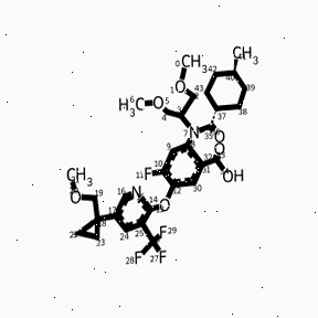 COCC(COC)N(c1cc(F)c(Oc2ncc(C3(COC)CC3)cc2C(F)(F)F)cc1C(=O)O)C(=O)[C@H]1CC[C@H](C)CC1